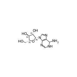 NC1NC=Nc2c1ncn2[C@@H]1O[C@H](CO)[C@@H](O)[C@@H]1O